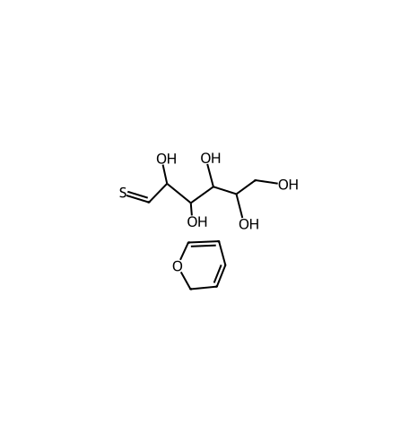 C1=CCOC=C1.OCC(O)C(O)C(O)C(O)C=S